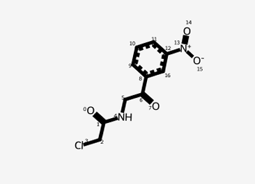 O=C(CCl)NCC(=O)c1cccc([N+](=O)[O-])c1